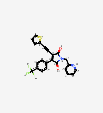 O=C1C(C#Cc2cccs2)=C(c2ccc(C(F)(F)F)cc2)C(=O)N1Cc1ccccn1